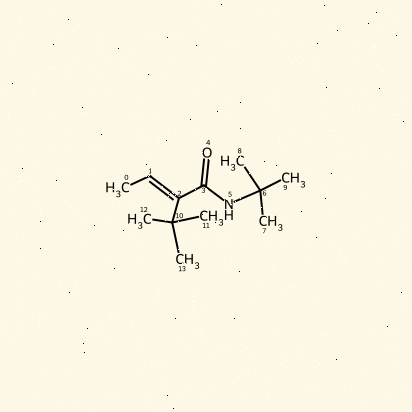 C/C=C(/C(=O)NC(C)(C)C)C(C)(C)C